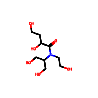 O=C(C(O)CCO)N(CCO)C(CO)CO